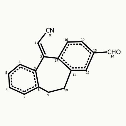 N#CC=C1c2ccccc2CCc2cc(C=O)ccc21